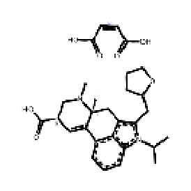 CC(C)n1c(CC2CCCO2)c2c3c(cccc31)C1=C[C@@H](C(=O)O)CN(C)[C@@H]1C2.O=C(O)/C=C\C(=O)O